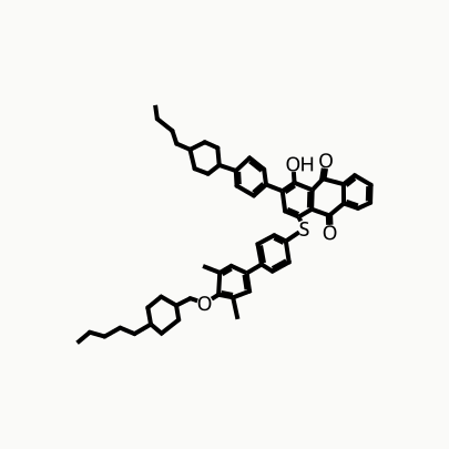 CCCCCC1CCC(COc2c(C)cc(-c3ccc(Sc4cc(-c5ccc(C6CCC(CCCC)CC6)cc5)c(O)c5c4C(=O)c4ccccc4C5=O)cc3)cc2C)CC1